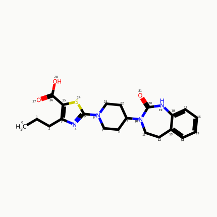 CCCc1nc(N2CCC(N3CCc4ccccc4NC3=O)CC2)sc1C(=O)O